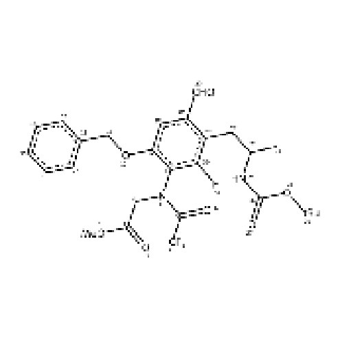 COC(=O)CN(C(=O)C(F)(F)F)c1c(OCc2ccccc2)cc(C=O)c(CC(C)NC(=O)OC(C)(C)C)c1F